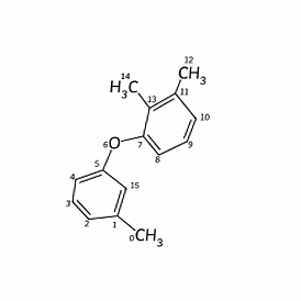 Cc1cccc(Oc2cccc(C)c2C)c1